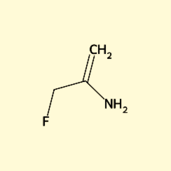 C=C(N)CF